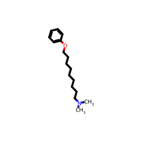 CN(C)CCCCCCCCCOc1ccccc1